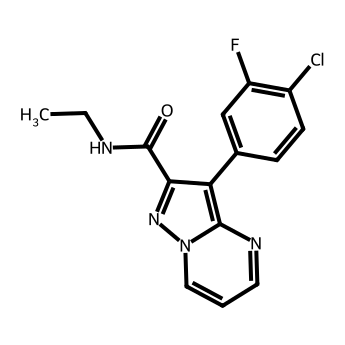 CCNC(=O)c1nn2cccnc2c1-c1ccc(Cl)c(F)c1